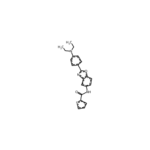 CCN(CC)c1ccc(-c2nc3cc(NC(=O)c4cccs4)ccc3o2)cc1